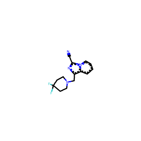 N#Cc1nc(CN2CCC(F)(F)CC2)c2ccccn12